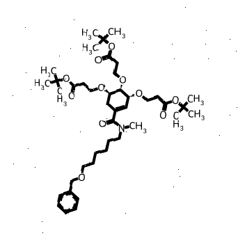 CN(CCCCCCOCc1ccccc1)C(=O)C1=C[C@@H](OCCC(=O)OC(C)(C)C)[C@@H](OCCC(=O)OC(C)(C)C)[C@H](OCCC(=O)OC(C)(C)C)C1